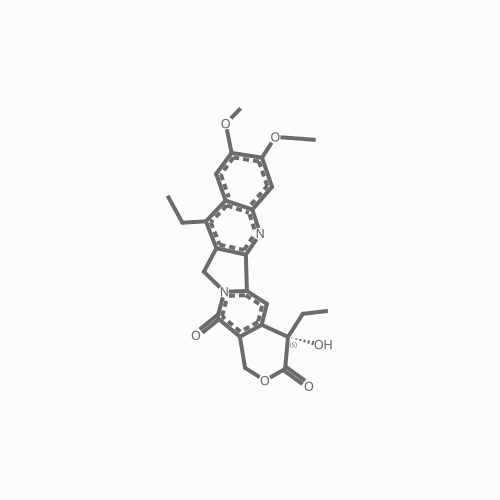 CCc1c2c(nc3cc(OC)c(OC)cc13)-c1cc3c(c(=O)n1C2)COC(=O)[C@]3(O)CC